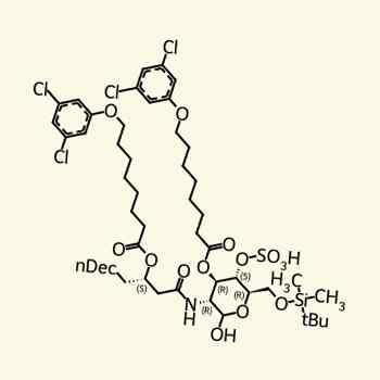 CCCCCCCCCCC[C@@H](CC(=O)N[C@H]1C(O)O[C@H](CO[Si](C)(C)C(C)(C)C)[C@@H](OS(=O)(=O)O)[C@@H]1OC(=O)CCCCCCCOc1cc(Cl)cc(Cl)c1)OC(=O)CCCCCCCOc1cc(Cl)cc(Cl)c1